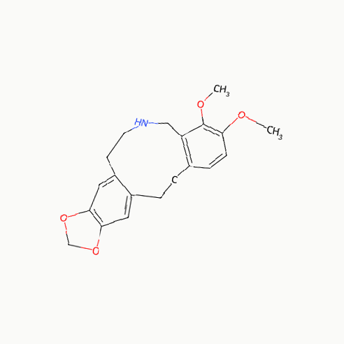 COc1ccc2c(c1OC)CNCCc1cc3c(cc1CC2)OCO3